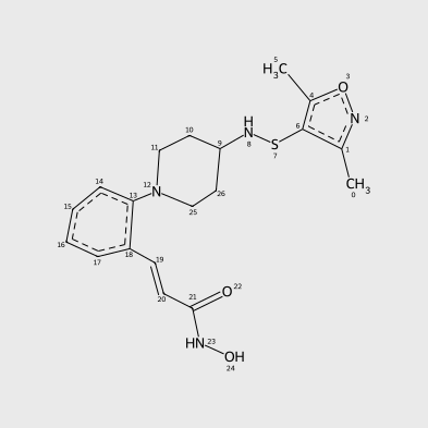 Cc1noc(C)c1SNC1CCN(c2ccccc2/C=C/C(=O)NO)CC1